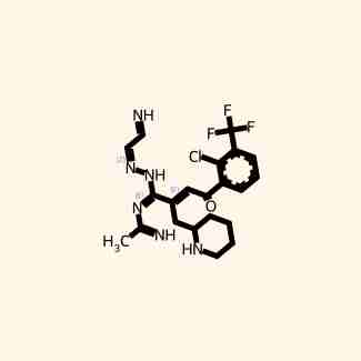 CC(=N)/N=C(N/N=C\C=N)\C(=C\C(=O)c1cccc(C(F)(F)F)c1Cl)CC1CCCCN1